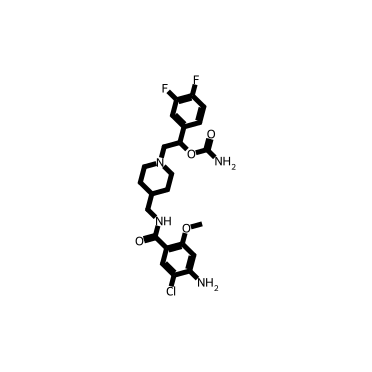 COc1cc(N)c(Cl)cc1C(=O)NCC1CCN(CC(OC(N)=O)c2ccc(F)c(F)c2)CC1